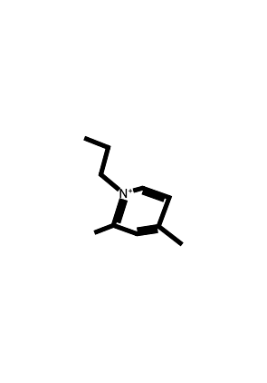 CCC[n+]1ccc(C)cc1C